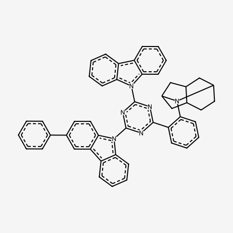 c1ccc(-c2ccc3c(c2)c2ccccc2n3-c2nc(-c3ccccc3N3C4CCC5CC3CC5C4)nc(-n3c4ccccc4c4ccccc43)n2)cc1